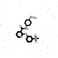 CC(=O)N[C@H]1CC[C@@H](NC(=O)c2cccnc2Oc2cccc(S(C)(=O)=O)c2)CC1